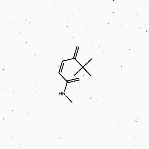 C=C(/C=C\C(=C)C(C)(C)C)NC